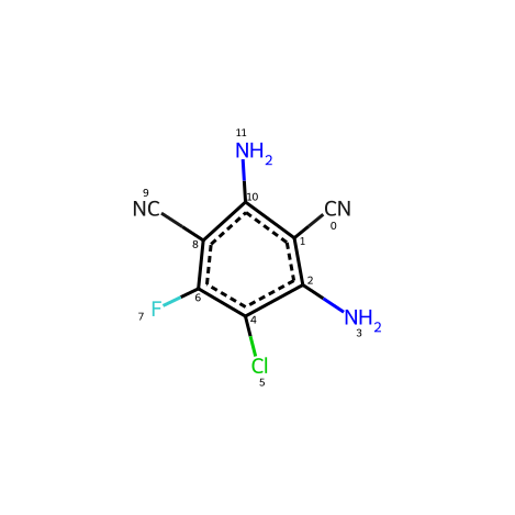 N#Cc1c(N)c(Cl)c(F)c(C#N)c1N